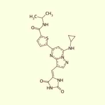 CC(C)NC(=O)c1ccc(-c2cc(NC3CC3)n3ncc(/C=C4\NC(=O)NC4=O)c3n2)s1